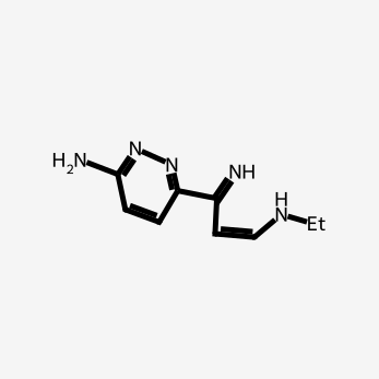 CCN/C=C\C(=N)c1ccc(N)nn1